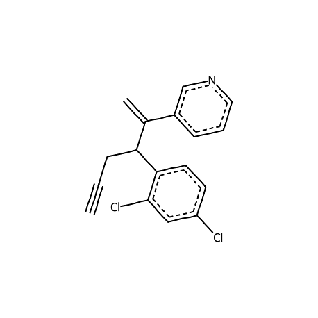 C#CCC(C(=C)c1cccnc1)c1ccc(Cl)cc1Cl